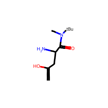 C=C(O)CC(N)C(=O)N(C)C(C)(C)C